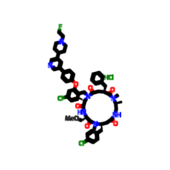 COC[C@@H]1NC(=O)[C@H](C)N(Cc2ccc(Cl)cc2Oc2ccc(-c3cncc(C4CCN(CCF)CC4)c3)cc2)C(=O)C[C@@H](Cc2ccccc2)C(=O)N(C)[C@@H](C)CNC(=O)C[C@H](Cc2ccc(Cl)cc2)N(C)C1=O.Cl